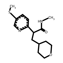 CNC(=O)C(CC1CCOCC1)c1ccc(SC)cn1